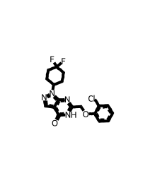 O=c1[nH]c(COc2ccccc2Cl)nc2c1cnn2C1CCC(F)(F)CC1